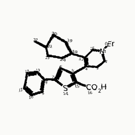 CCN1CCC(c2cc(-c3ccccc3)sc2C(=O)O)=C(C2CCC(C)CC2)C1